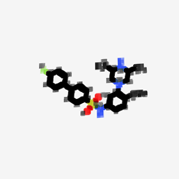 COc1ccc(NS(=O)(=O)c2ccc(-c3ccc(F)cc3)cc2)cc1N1CC(C)NC(C)C1